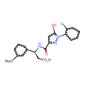 COc1cccc([C@H](CC(=O)O)NC(=O)c2cc(O)n(-c3ccccc3Cl)n2)c1